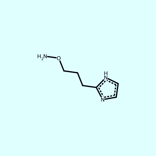 NOCCCc1ncc[nH]1